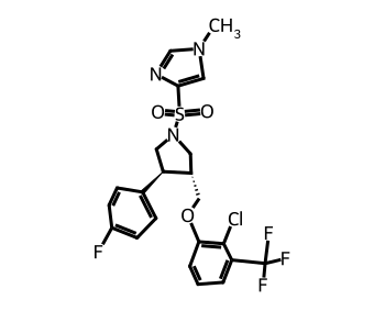 Cn1cnc(S(=O)(=O)N2C[C@H](COc3cccc(C(F)(F)F)c3Cl)[C@@H](c3ccc(F)cc3)C2)c1